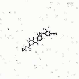 CCC1CN(C(=O)OC2(C)CC2)CC(C)C1Oc1ncnc(Nc2ccc(C#N)cc2Cl)c1C